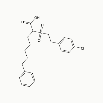 O=C(O)C(CCCCCc1ccccc1)S(=O)(=O)CCc1ccc(Cl)cc1